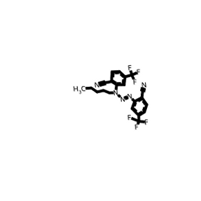 CCCCCN(N=Nc1cc(C(F)(F)F)ccc1C#N)c1cc(C(F)(F)F)ccc1C#N